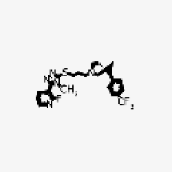 Cn1c(SCCCN2CC[C@@]3(CC3c3ccc(C(F)(F)F)cc3)C2)nnc1-c1cccnc1F